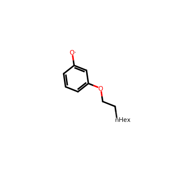 CCCCCCCCOc1cccc([O])c1